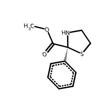 COC(=O)[C@@]1(c2ccccc2)NCCS1